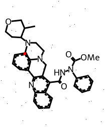 COC(=O)N(NC(=O)c1c(CN2CCN(C3CCOCC3C)CC2)c(-c2ccccc2)nc2ccccc12)c1ccccc1